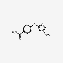 COc1coc(Oc2ccc(C(N)=O)cc2)c1